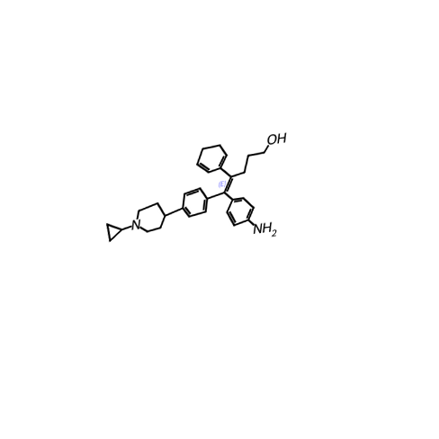 Nc1ccc(/C(=C(\CCCO)C2=CCCC=C2)c2ccc(C3CCN(C4CC4)CC3)cc2)cc1